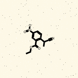 CCOC(=O)c1cc([N+](=O)[O-])ccc1C(C)C#N